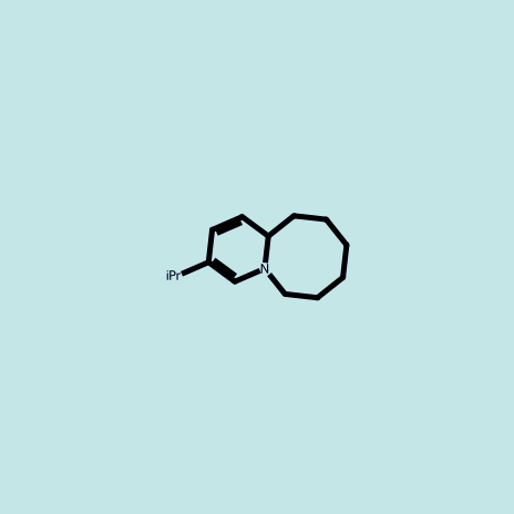 CC(C)C1=CN2CCCCCCC2C=C1